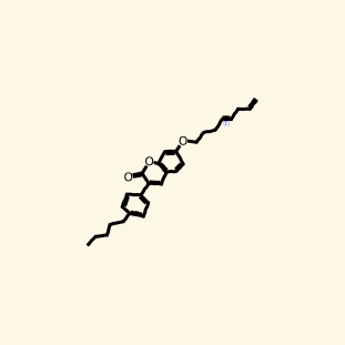 C=CC/C=C/CCCOc1ccc2cc(-c3ccc(CCCCC)cc3)c(=O)oc2c1